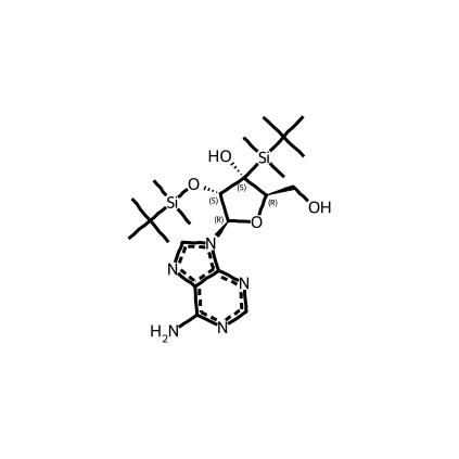 CC(C)(C)[Si](C)(C)O[C@H]1[C@H](n2cnc3c(N)ncnc32)O[C@H](CO)[C@]1(O)[Si](C)(C)C(C)(C)C